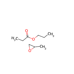 CC1CO1.CCCOC(=O)CC